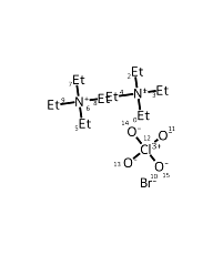 CC[N+](CC)(CC)CC.CC[N+](CC)(CC)CC.[Br-].[O-][Cl+3]([O-])([O-])[O-]